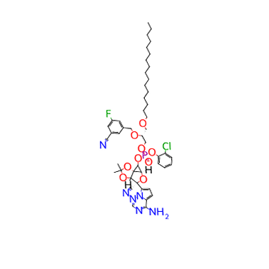 CCCCCCCCCCCCCCCCOC[C@H](COP(=O)(Oc1ccccc1Cl)OC1[C@H]2O[C@@](C#N)(c3ccc4c(N)ncnn34)[C@@H]3OC(C)(C)O[C@]123)OCc1cc(F)cc(C#N)c1